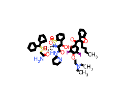 CCCCc1oc2ccccc2c1C(=O)c1cc(I)c(OCCN(CC)CC)c(I)c1.CN1C(C(=O)Nc2ccccn2)=C(O)c2ccccc2S1(=O)=O.NC(=O)C[S+]([O-])C(c1ccccc1)c1ccccc1